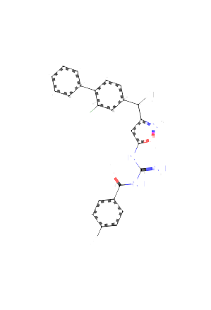 Cc1ccc(C(=O)NC(=N)Nc2cc(C(C)c3ccc(-c4ccccc4)c(F)c3)no2)cc1